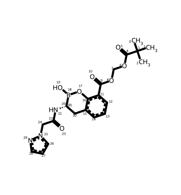 CC(C)(C)C(=O)OCOC(=O)c1cccc2c1OB(O)[C@@H](NC(=O)Cn1cccn1)C2